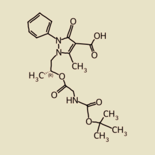 Cc1c(C(=O)O)c(=O)n(-c2ccccc2)n1C[C@@H](C)OC(=O)CNC(=O)OC(C)(C)C